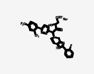 O=C([O-])CC(O)C(=O)C(c1ccc(-c2ccc(C(F)(F)F)cc2C(F)(F)F)nn1)N1C=Cc2[nH]c(-c3ccccc3F)nc2C1.[Na+]